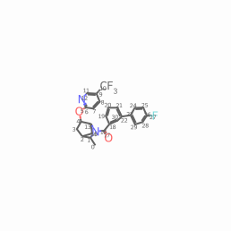 CC1C2CC(Oc3ccc(C(F)(F)F)cn3)C(C2)N1C(=O)c1cccc(-c2ccc(F)cc2)c1